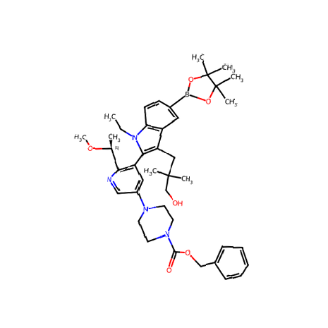 CCn1c(-c2cc(N3CCN(C(=O)OCc4ccccc4)CC3)cnc2[C@H](C)OC)c(CC(C)(C)CO)c2cc(B3OC(C)(C)C(C)(C)O3)ccc21